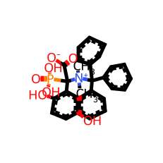 C[N+](C)(C(c1ccccc1)(c1ccccc1)c1ccccc1)C(C(=O)[O-])(c1cc(O)ccc1O)P(=O)(O)O